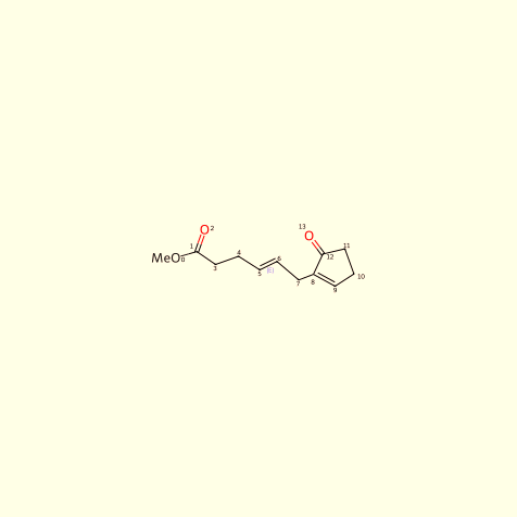 COC(=O)CC/C=C/CC1=CCCC1=O